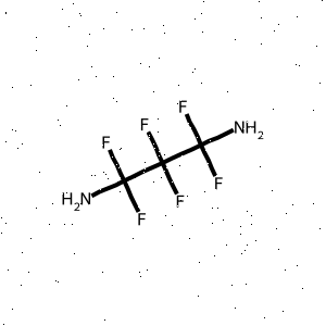 NC(F)(F)C(F)(F)C(N)(F)F